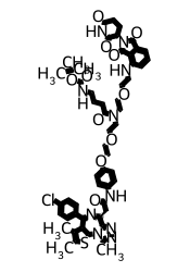 CC1=C(C)C2C(c3ccc(Cl)cc3)=N[C@@H](CC(=O)Nc3ccc(OCCOCCN(CCOCCNc4cccc5c4C(=O)N(C4CCC(=O)NC4=O)C5=O)C(=O)CCCNC(=O)OC(C)(C)C)cc3)c3nnc(C)n3C2S1